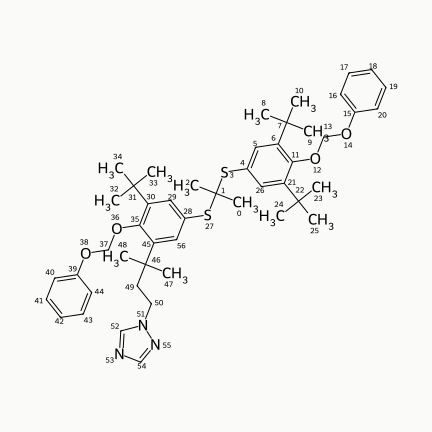 CC(C)(Sc1cc(C(C)(C)C)c(OCOc2ccccc2)c(C(C)(C)C)c1)Sc1cc(C(C)(C)C)c(OCOc2ccccc2)c(C(C)(C)CCn2cncn2)c1